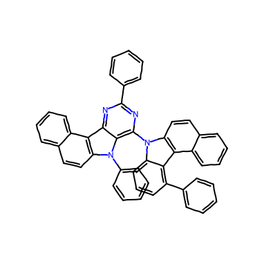 c1ccc(-c2nc(-n3c4cccc(-c5ccccc5)c4c4c5ccccc5ccc43)c3c(n2)c2c4ccccc4ccc2n3-c2ccccc2)cc1